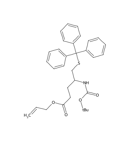 C=CCOC(=O)CCC(CSC(c1ccccc1)(c1ccccc1)c1ccccc1)NC(=O)OC(C)(C)C